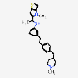 CC(Nc1cccc(CCc2ccc(CC3CCN(C)CC3)cc2)c1)c1cc2sccc2n1C